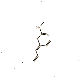 C=C/C=C(\C=C)CC(=O)NC